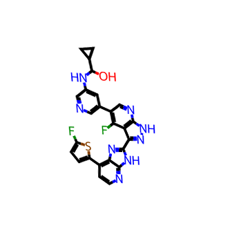 OC(Nc1cncc(-c2cnc3[nH]nc(-c4nc5c(-c6ccc(F)s6)ccnc5[nH]4)c3c2F)c1)C1CC1